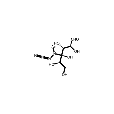 CC(=O)N(N=[N+]=[N-])[C@@](O)([C@H](O)CO)[C@H](O)[C@H](O)C=O